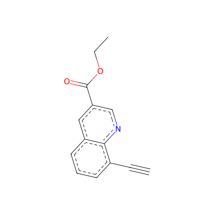 C#Cc1cccc2cc(C(=O)OCC)cnc12